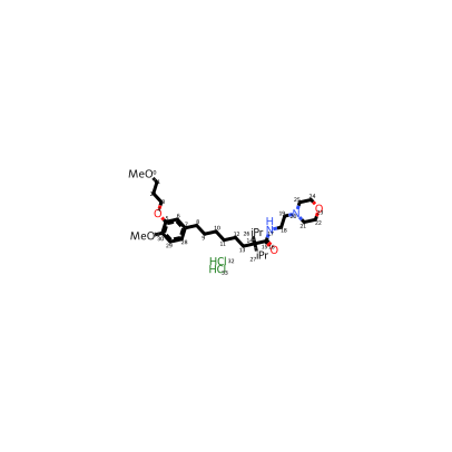 COCCCOc1cc(CCCCCCC(C(=O)NCCN2CCOCC2)(C(C)C)C(C)C)ccc1OC.Cl.Cl